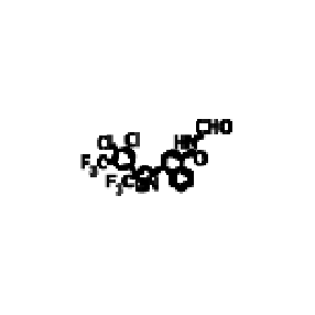 O=CCNC(=O)c1ccc(C2=NOC(c3cc(Cl)c(Cl)c(C(F)(F)F)c3)(C(F)(F)F)C2)c2ccccc12